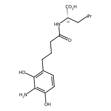 CC(C)C[C@H](NC(=O)CCCc1ccc(O)c(N)c1O)C(=O)O